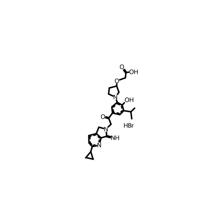 Br.CC(C)c1cc(C(=O)CN2Cc3ccc(C4CC4)nc3C2=N)cc(N2CCC(OCC(=O)O)C2)c1O